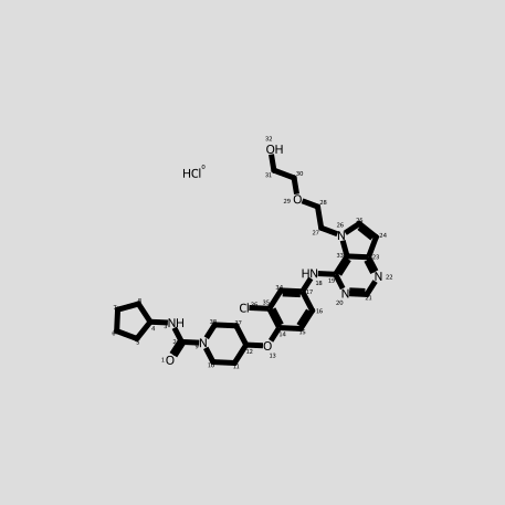 Cl.O=C(NC1CCCC1)N1CCC(Oc2ccc(Nc3ncnc4ccn(CCOCCO)c34)cc2Cl)CC1